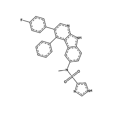 CN(c1ccc2[nH]c3ncc(-c4ccc(F)cc4)c(-c4ccccc4)c3c2c1)S(=O)(=O)c1c[nH]cn1